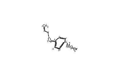 C=CCOc1cc[c]([Mg][Br])cc1